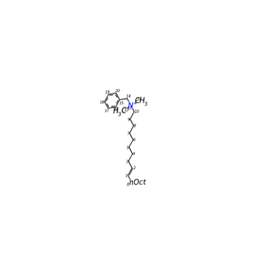 CCCCCCCCC=CCCCCCCCC[N+](C)(C)Cc1ccccc1